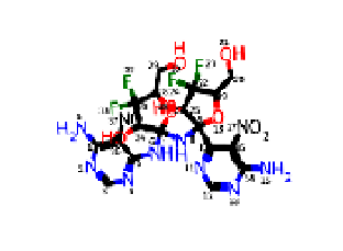 Nc1ncnc(NC2(NC3(c4ncnc(N)c4[N+](=O)[O-])OC(CO)C(F)(F)C3O)OC(CO)C(F)(F)C2O)c1[N+](=O)[O-]